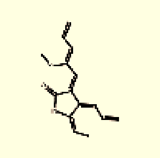 C=C/C=C(/C=C1\C(=O)NC(=C\C)\C1=C/C=C)SC